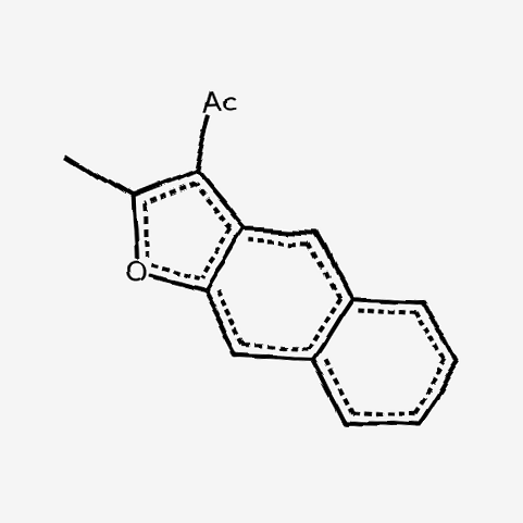 CC(=O)c1c(C)oc2cc3ccccc3cc12